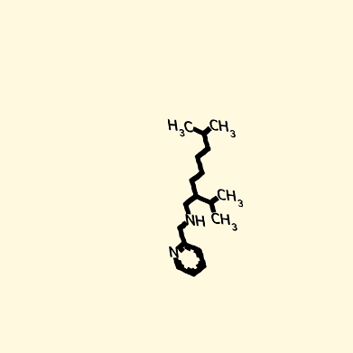 CC(C)CCCCC(CNCc1ccccn1)C(C)C